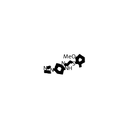 COc1cccc(C)c1SCc1nc2cc(-n3ccnc3)ccc2[nH]1